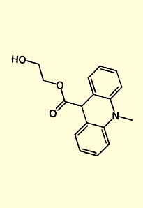 CN1c2ccccc2C(C(=O)OCCO)c2ccccc21